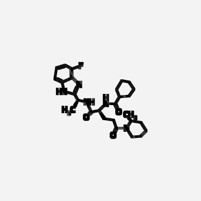 C[C@H](NC(=O)[C@H](CCC(=O)N1CCCC[C@@H]1C)NC(=O)C1CCCCC1)c1nc2c(F)cccc2[nH]1